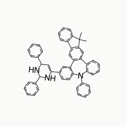 CC1(C)c2ccccc2-c2cc3c(cc21)-c1ccccc1N(c1ccccc1)c1ccc(C2=CC(c4ccccc4)NC(c4ccccc4)N2)cc1-3